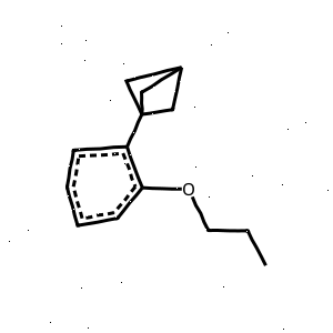 CCCOc1ccccc1C12CC(C1)C2